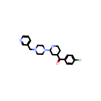 O=C(c1ccc(Cl)cc1)C1CC[N][C@H](N2CCN(Cc3cccnc3)CC2)C1